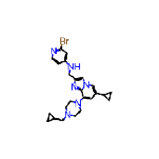 Brc1cc(NCc2cn3cc(C4CC4)cc(N4CCN(CC5CC5)CC4)c3n2)ccn1